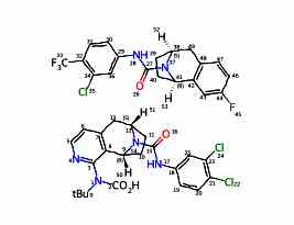 CC(C)(C)N(C(=O)O)c1nccc2c1[C@H]1CC[C@@H](C2)N1C(=O)Nc1ccc(Cl)c(Cl)c1.O=C(Nc1ccc(C(F)(F)F)c(Cl)c1)N1[C@H]2CC[C@@H]1c1cc(F)ccc1C2